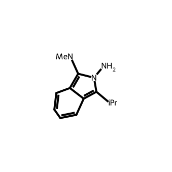 CNc1c2ccccc2c(C(C)C)n1N